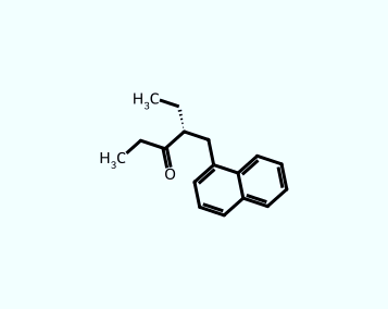 CCC(=O)[C@H](CC)Cc1cccc2ccccc12